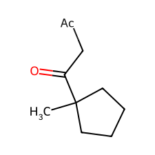 CC(=O)CC(=O)C1(C)CCCC1